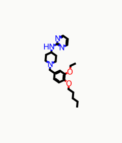 CCCCCOc1ccc(CN2CCC(Nc3ncccn3)CC2)cc1OCC